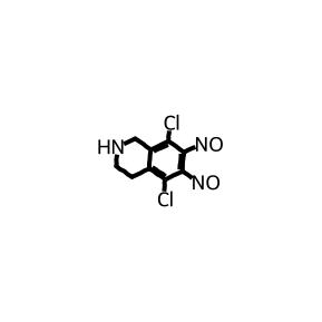 O=Nc1c(Cl)c2c(c(Cl)c1N=O)CNCC2